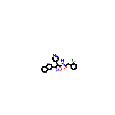 O=C(Cc1ccccc1Cl)Nc1onc(-c2ccc3ccccc3c2)c1-c1ccncc1